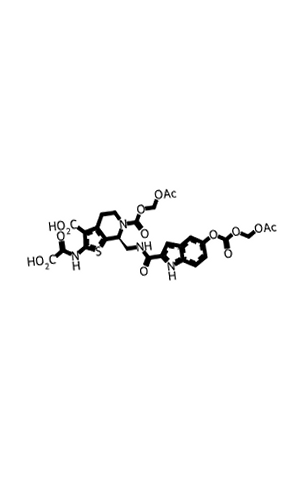 CC(=O)OCOC(=O)Oc1ccc2[nH]c(C(=O)NC[C@H]3c4sc(NC(=O)C(=O)O)c(C(=O)O)c4CCN3C(=O)OCOC(C)=O)cc2c1